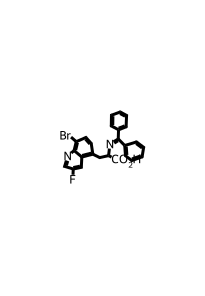 O=C(O)C(Cc1ccc(Br)c2ncc(F)cc12)N=C(c1ccccc1)c1ccccc1